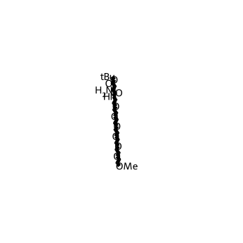 COCCOCCOCCOCCOCCOCCOCCNC(=O)[C@@H](N)CC(=O)OC(C)(C)C